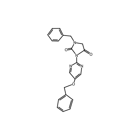 O=C1CN(Cc2ccccc2)C(=O)N1c1ncc(OCc2ccccc2)cn1